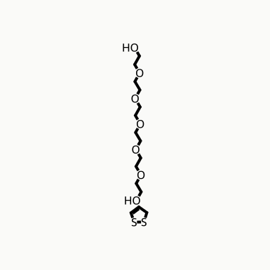 C1=CSSC1.OCCOCCOCCOCCOCCOCCO